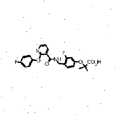 CC(C)(Oc1ccc(CNC(=O)c2cccnc2Oc2ccc(F)cc2)c(F)c1)C(=O)O